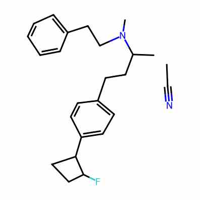 CC#N.CC(CCc1ccc(C2CCC2F)cc1)N(C)CCc1ccccc1